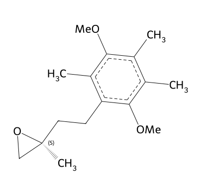 COc1c(C)c(C)c(OC)c(CC[C@@]2(C)CO2)c1C